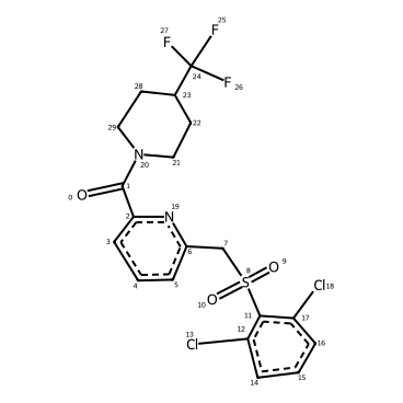 O=C(c1cccc(CS(=O)(=O)c2c(Cl)cccc2Cl)n1)N1CCC(C(F)(F)F)CC1